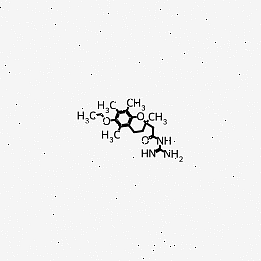 CCOc1c(C)c(C)c2c(c1C)CCC(C)(CC(=O)NC(=N)N)O2